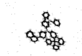 c1ccc(-n2c3ccccc3c3ccc(N(c4ccc(-c5cccc6ccccc56)cc4)c4ccc5c(c4)C(c4ccccc4)(c4ccccc4)c4ccccc4-5)cc32)cc1